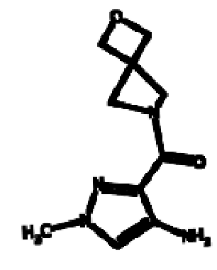 Cn1cc(N)c(C(=O)N2CC3(COC3)C2)n1